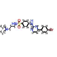 CN(C)CCCNS(=O)(=O)c1ccc(Nc2nccc(-c3ccc(Br)cc3)n2)cc1